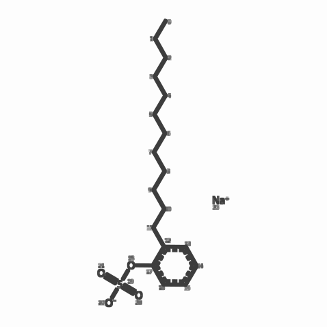 CCCCCCCCCCCCc1ccccc1OS(=O)(=O)[O-].[Na+]